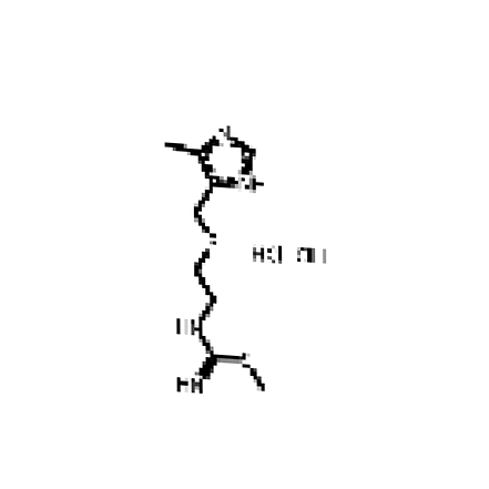 CSC(=N)NCCSCc1[nH]cnc1C.Cl.Cl